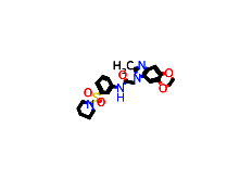 Cc1nc2cc3c(cc2n1CC(=O)Nc1cccc(S(=O)(=O)N2CCCCC2)c1)OCCO3